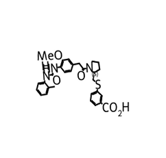 COc1cc(CC(=O)N2CCC[C@H]2CSc2cccc(C(=O)O)c2)ccc1NC(=O)Nc1ccccc1C